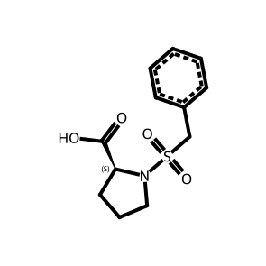 O=C(O)[C@@H]1CCCN1S(=O)(=O)Cc1ccccc1